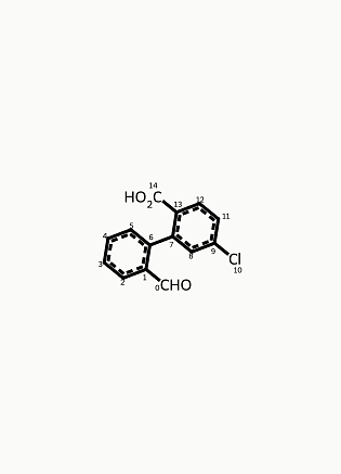 O=Cc1ccccc1-c1cc(Cl)ccc1C(=O)O